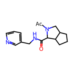 CC(=O)N1CC2CCCC2C1C(=O)NCc1cccnc1